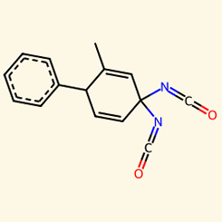 CC1=CC(N=C=O)(N=C=O)C=CC1c1ccccc1